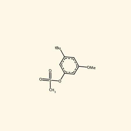 COc1cc(OS(C)(=O)=O)cc(C(C)(C)C)c1